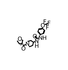 O=C(Nc1ccc(OC(F)(F)F)cc1)NC1CCN(C(=O)[C@@H]2CCOC2)CC1